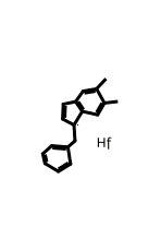 Cc1cc2c(cc1C)[C](Cc1ccccc1)C=C2.[Hf]